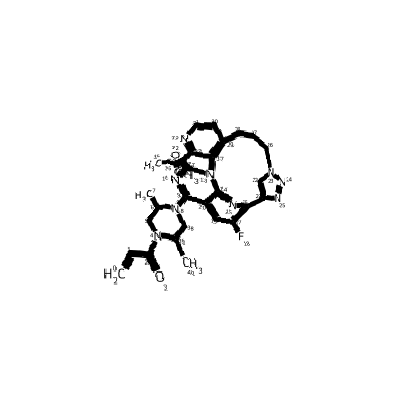 C=CC(=O)N1CC(C)N(c2nc(=O)n3c4nc(c(F)cc24)-c2cn(nn2)CCCc2ccnc(C(C)C)c2-3)CC1C